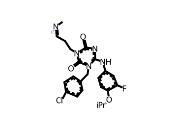 C/N=C\CCn1c(=O)nc(Nc2ccc(OC(C)C)c(F)c2)n(Cc2ccc(Cl)cc2)c1=O